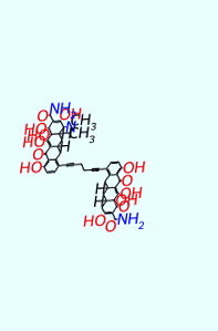 CN(C)[C@@H]1C(O)=C(C(N)=O)C(O)[C@@]2(O)C(O)=C3C(=O)c4c(O)ccc(C#CCCC#Cc5ccc(O)c6c5C[C@H]5C[C@H]7CC(O)=C(C(N)=O)C(=O)[C@@]7(O)C(O)=C5C6=O)c4C[C@H]3C[C@@H]12